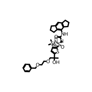 CC(O)(COCCOCc1ccccc1)c1ccc(S(=O)(=NC(=O)Nc2c3c(cc4c2CCC4)CCC3)N[Si](C)(C)C(C)(C)C)s1